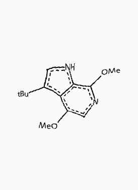 COc1ncc(OC)c2c(C(C)(C)C)c[nH]c12